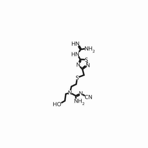 N#CN=C(N)N(CCO)CCSCc1nsc(NC(=N)N)n1